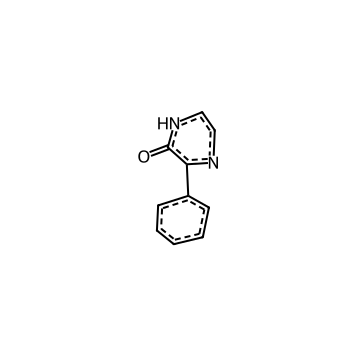 O=c1[nH]ccnc1-c1ccccc1